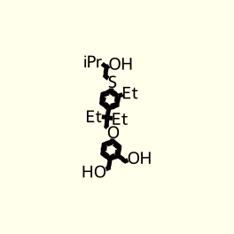 CCc1cc(C(CC)(CC)COc2ccc(CO)c(CO)c2)ccc1SCC(O)C(C)C